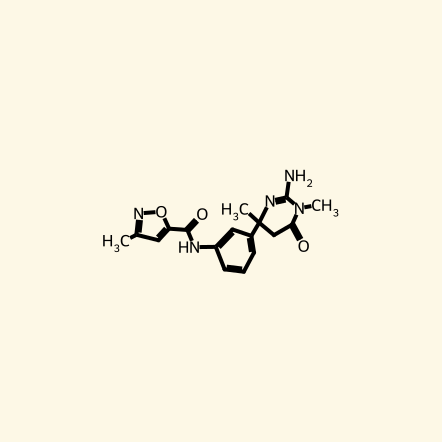 Cc1cc(C(=O)Nc2cccc(C3(C)CC(=O)N(C)C(N)=N3)c2)on1